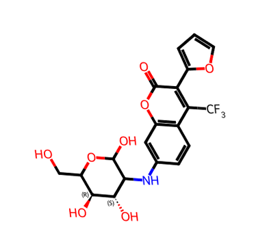 O=c1oc2cc(NC3C(O)OC(CO)[C@H](O)[C@H]3O)ccc2c(C(F)(F)F)c1-c1ccco1